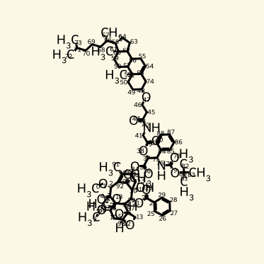 CO[C@H]1C(=O)[C@]2(C)[C@@H](OC)C[C@H]3OC[C@@]3(OC(C)=O)[C@H]2[C@H](OC(=O)c2ccccc2)[C@]2(O)C[C@H](OC(=O)C(OC(=O)CNC(=O)CCO[C@H]3CC[C@@]4(C)C(=CCC5C4CC[C@@]4(C)C5CC[C@@H]4[C@H](C)CCCC(C)C)C3)[C@@H](NC(=O)OC(C)(C)C)c3ccccc3)C(C)=C1C2(C)C